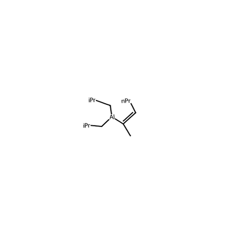 CCC/C=[C](/C)[Al]([CH2]C(C)C)[CH2]C(C)C